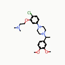 COc1ccc(C(C)N2CCN(c3ccc(Cl)c(OCCN(C)C)c3)CC2)cc1OC